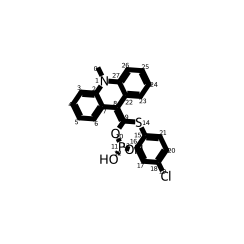 CN1c2ccccc2C(=C(OP(O)O)Sc2ccc(Cl)cc2)c2ccccc21